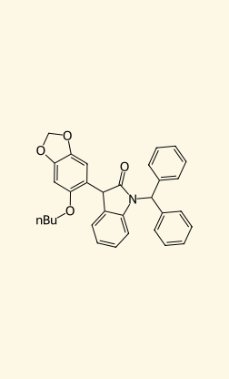 CCCCOc1cc2c(cc1C1C(=O)N(C(c3ccccc3)c3ccccc3)c3ccccc31)OCO2